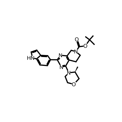 C[C@H]1COCCN1c1nc(-c2ccc3[nH]ccc3c2)nc2c1CCN(C(=O)OC(C)(C)C)C2